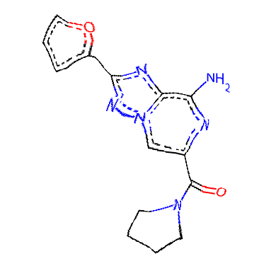 Nc1nc(C(=O)N2CCCC2)cn2nc(-c3ccco3)nc12